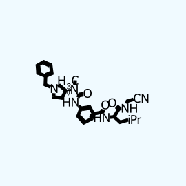 CC(C)CC(NC(=O)c1cccc(NC(=O)N(C)[C@H]2CCN(Cc3ccccc3)C2)c1)C(=O)NCC#N